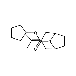 CC(C)=C1CC2CCC(C1)N2C(=O)OC1CCCC1